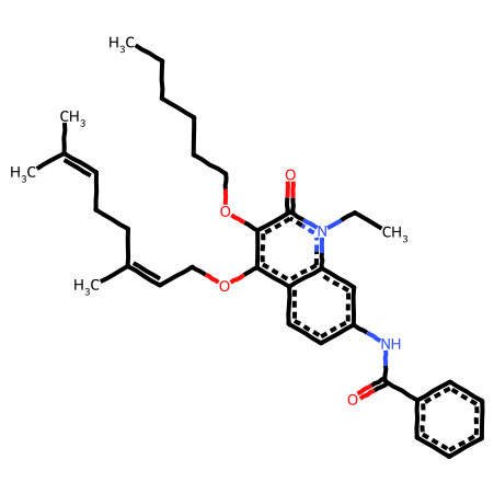 CCCCCCOc1c(OCC=C(C)CCC=C(C)C)c2ccc(NC(=O)c3ccccc3)cc2n(CC)c1=O